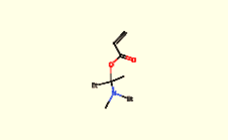 C=CC(=O)OC(C)(CC)N(C)CC